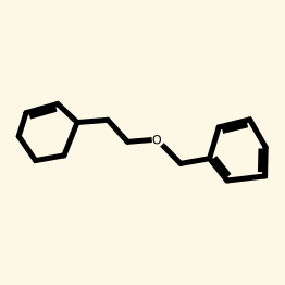 C1=CC(CCOCc2ccccc2)CCC1